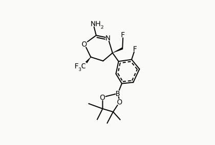 CC1(C)OB(c2ccc(F)c([C@]3(CF)C[C@@H](C(F)(F)F)OC(N)=N3)c2)OC1(C)C